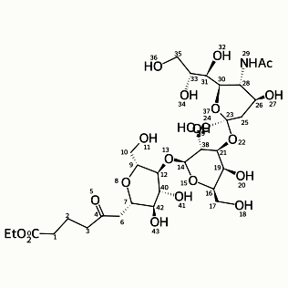 CCOC(=O)CCCC(=O)C[C@@H]1O[C@H](CO)[C@@H](O[C@@H]2O[C@H](CO)[C@H](O)[C@H](O[C@]3(C(=O)O)C[C@H](O)[C@@H](NC(C)=O)[C@H]([C@H](O)[C@H](O)CO)O3)[C@H]2O)[C@H](O)[C@H]1O